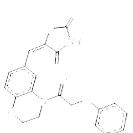 O=C1NC(=S)SC1=Cc1ccc2c(c1)N(C(=O)COc1ccccc1)CCO2